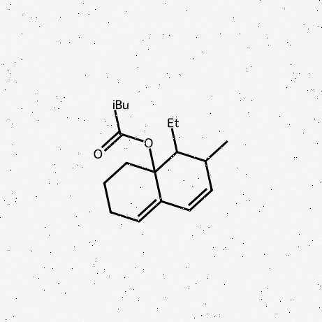 CCC(C)C(=O)OC12CCCC=C1C=CC(C)C2CC